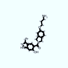 CC(C)c1n[nH]c2cc(O)c(C(=O)N3Cc4ccc(OCCCN)cc4C3)cc12